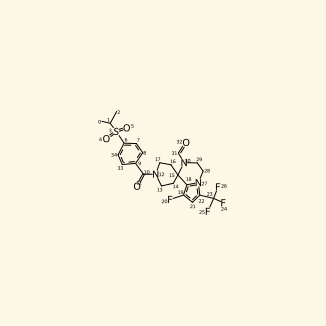 CC(C)S(=O)(=O)c1ccc(C(=O)N2CCC3(CC2)c2c(F)cc(C(F)(F)F)n2CCN3C=O)cc1